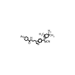 CC(=O)N1CCC(C(=O)NCCn2cnc3cc(C(=NC#N)N4CC5(C)CC4CC(C)(C)C5)ccc32)CC1